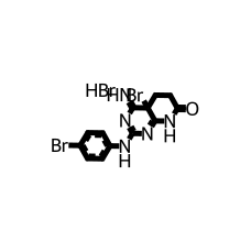 Br.N=C1N=C(Nc2ccc(Br)cc2)N=C2NC(=O)CCC12Br